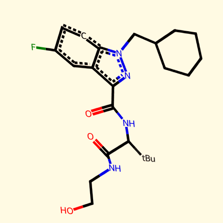 CC(C)(C)C(NC(=O)c1nn(CC2CCCCC2)c2ccc(F)cc12)C(=O)NCCO